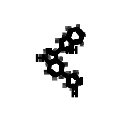 c1ccc2[nH]c(-c3n[nH]c4ccc(-c5cn[nH]c5)cc34)cc2c1